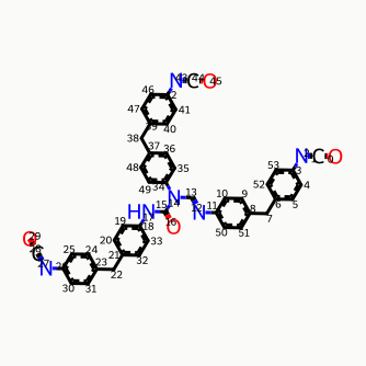 O=C=Nc1ccc(Cc2ccc(N=CN(C(=O)Nc3ccc(Cc4ccc(N=C=O)cc4)cc3)c3ccc(Cc4ccc(N=C=O)cc4)cc3)cc2)cc1